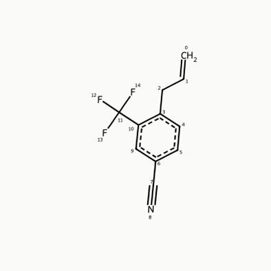 C=CCc1ccc(C#N)cc1C(F)(F)F